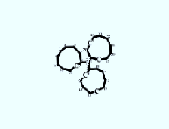 C1CCCCC(N(C2CCCCCCCCC2)C2CCCCCCCCC2)CCCC1